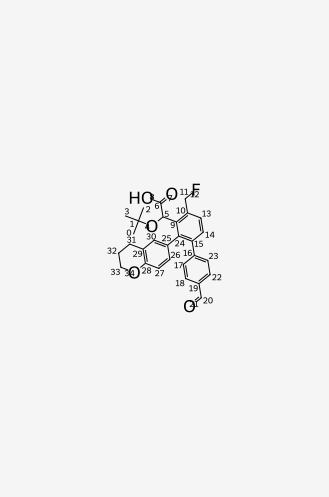 CC(C)(C)OC(C(=O)O)c1c(CF)ccc(-c2ccc(C=O)cc2)c1-c1ccc2c(c1)CCCO2